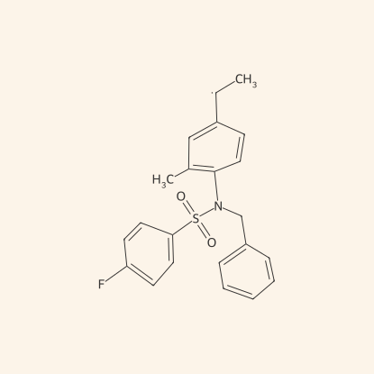 C[CH]c1ccc(N(Cc2ccccc2)S(=O)(=O)c2ccc(F)cc2)c(C)c1